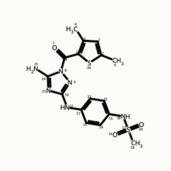 Cc1cc(C)c(C(=O)n2nc(Nc3ccc(NS(C)(=O)=O)cc3)nc2N)s1